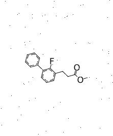 COC(=O)CCc1cccc(-c2ccccc2)c1F